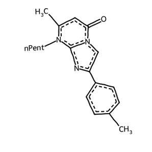 CCCCCn1c(C)cc(=O)n2cc(-c3ccc(C)cc3)nc12